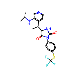 CC(C)Nc1cnccc1C(C)C1NC(=O)N(c2ccc(SC(F)(F)F)cc2)C1=O